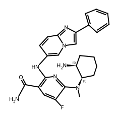 CN(c1nc(Nc2ccc3nc(-c4ccccc4)cn3c2)c(C(N)=O)cc1F)[C@@H]1CCCC[C@@H]1N